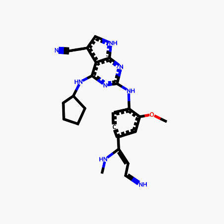 CN/C(=C\C=N)c1ccc(Nc2nc(NC3CCCC3)c3c(C#N)c[nH]c3n2)c(OC)c1